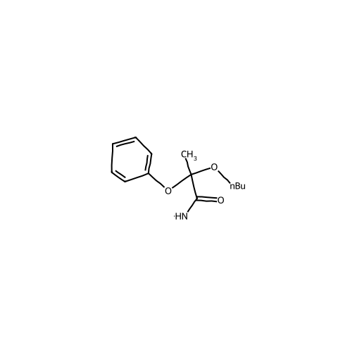 CCCCOC(C)(Oc1ccccc1)C([NH])=O